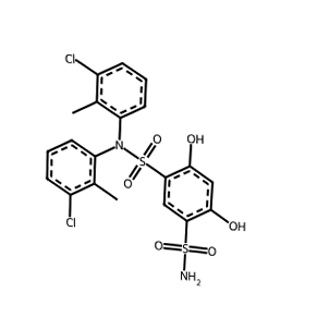 Cc1c(Cl)cccc1N(c1cccc(Cl)c1C)S(=O)(=O)c1cc(S(N)(=O)=O)c(O)cc1O